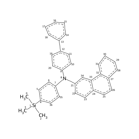 C[Si](C)(C)c1ccc(N(c2ccc(-c3ccccc3)cc2)c2ccc3ccc4ccccc4c3c2)cc1